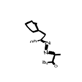 CCC/C(CC1CCCC1)=N\N=C(/C)C(=O)C(C)CC